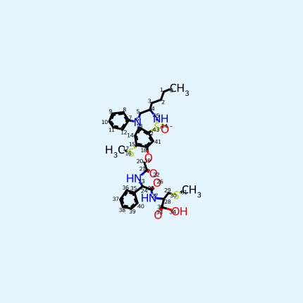 CCCCC1CN(c2ccccc2)c2cc(SC)c(OCC(=O)NC(C(=O)NC(CSC)C(=O)O)c3ccccc3)cc2[S+]([O-])N1